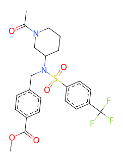 COC(=O)c1ccc(CN(C2CCCN(C(C)=O)C2)S(=O)(=O)c2ccc(C(F)(F)F)cc2)cc1